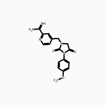 N=C(N)c1cc(CN2CC(=O)N(c3ccc(OC(F)(F)F)cc3)C2=O)ccn1